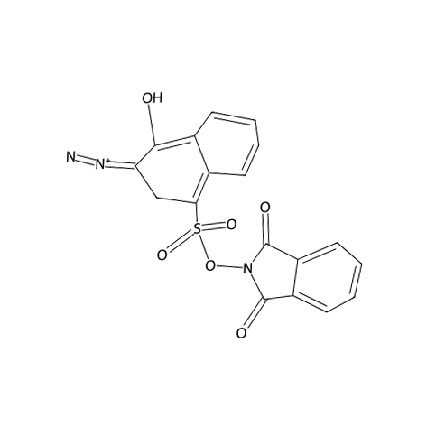 [N-]=[N+]=C1CC(S(=O)(=O)ON2C(=O)c3ccccc3C2=O)=c2ccccc2=C1O